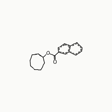 O=C(OC1CCCCCCC1)c1[c]c2ccccc2cc1